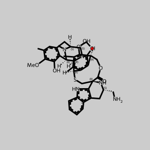 COc1c(C)cc2c(c1O)[C@@H]1[C@@H]3[C@@H]4SC[C@]5(N[C@H](CN)Cc6c5[nH]c5ccccc65)C(=O)OC[C@@H](c5c6c(c(C)c(C)c54)OCO6)N3[C@@H](O)[C@H](C2)N1C